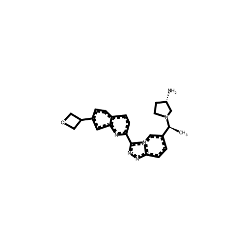 C[C@@H](c1ccc2nnc(-c3ccc4ccc(C5COC5)cc4n3)n2c1)N1CC[C@H](N)C1